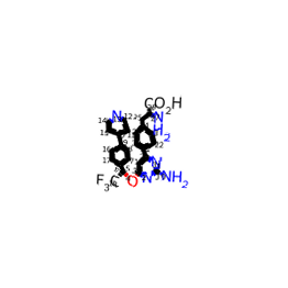 Nc1nc(OC(c2ccc(-c3ccncc3)cc2)C(F)(F)F)cc(-c2ccc(CC(N)C(=O)O)cc2)n1